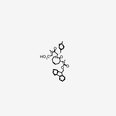 Cc1ccc(C[C@@H](C(=O)N(C)CC(=O)O)N2CC/C=C\C[C@H](N(C)C(=O)OCC3c4ccccc4-c4ccccc43)C2=O)cc1